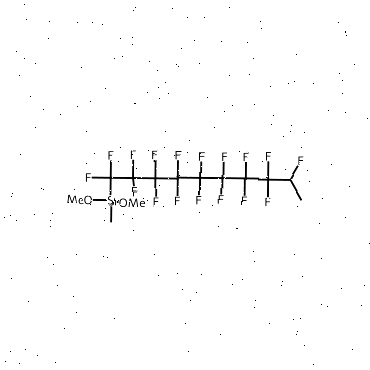 CO[Si](C)(OC)C(F)(F)C(F)(F)C(F)(F)C(F)(F)C(F)(F)C(F)(F)C(F)(F)C(F)(F)C(C)F